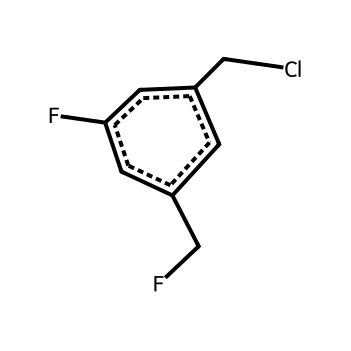 FCc1cc(F)cc(CCl)c1